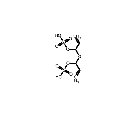 C=CC(OC(C=C)OS(=O)(=O)O)OS(=O)(=O)O